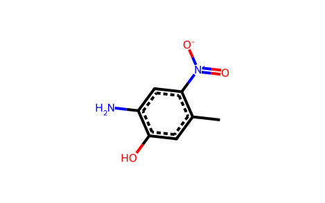 Cc1cc(O)c(N)cc1[N+](=O)[O-]